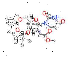 COC(=O)/C=C1\[C@H](n2ccc(=O)[nH]c2=O)O[C@@H]2CO[Si](C(C)C)(C(C)C)O[Si](C(C)C)(C(C)C)O[C@@H]12